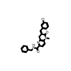 CN1C(=O)C(=Cc2cccc(Cl)c2)Cc2nc(C(=O)NCc3ccccc3)ccc21